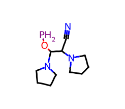 N#CC(C(OP)N1CCCC1)N1CCCC1